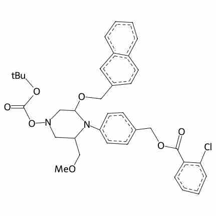 COCC1CN(OC(=O)OC(C)(C)C)CC(OCc2ccc3ccccc3c2)N1c1ccc(COC(=O)c2ccccc2Cl)cc1